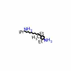 CCc1cc(C(C)(CC)CCCCCCCCC(N)C(C)C)ccc1N